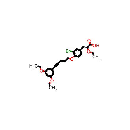 CCOc1cc(C#C/C=C/COc2ccc(C[C@H](OCC)C(=O)O)cc2Br)cc(OCC)c1